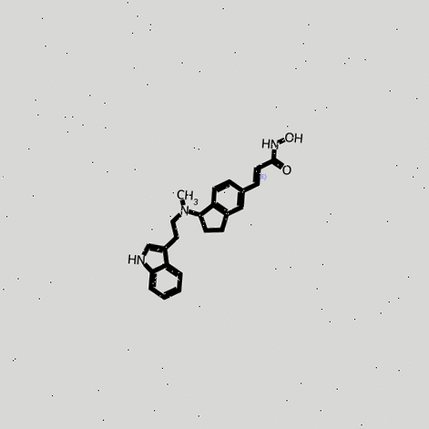 CN(CCc1c[nH]c2ccccc12)C1CCc2cc(/C=C/C(=O)NO)ccc21